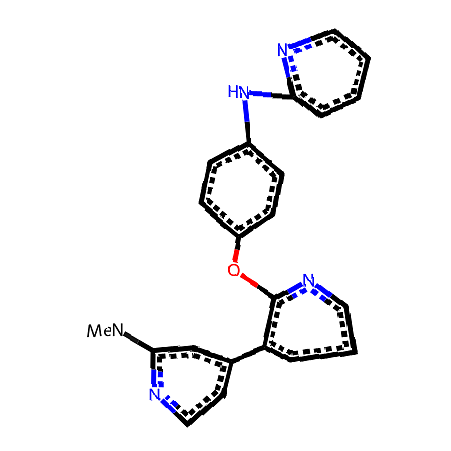 CNc1cc(-c2cccnc2Oc2ccc(Nc3ccccn3)cc2)ccn1